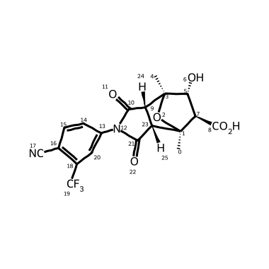 C[C@]12O[C@](C)([C@H](O)[C@H]1C(=O)O)[C@H]1C(=O)N(c3ccc(C#N)c(C(F)(F)F)c3)C(=O)[C@H]12